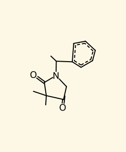 CC(c1ccccc1)N1CC(=O)C(C)(C)C1=O